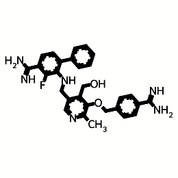 Cc1ncc(CNc2c(-c3ccccc3)ccc(C(=N)N)c2F)c(CO)c1OCc1ccc(C(=N)N)cc1